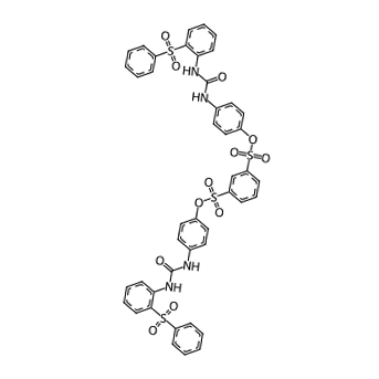 O=C(Nc1ccc(OS(=O)(=O)c2cccc(S(=O)(=O)Oc3ccc(NC(=O)Nc4ccccc4S(=O)(=O)c4ccccc4)cc3)c2)cc1)Nc1ccccc1S(=O)(=O)c1ccccc1